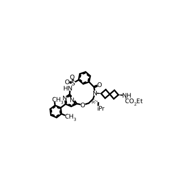 CCOC(=O)N[C@H]1CC2(C1)C[C@H](N1C(=O)c3cccc(c3)S(=O)(=O)Nc3nc(cc(-c4c(C)cccc4C)n3)OC[C@H]1CC(C)C)C2